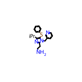 CC(C)c1nc(CCN)n(Cc2cccnc2)c1Sc1ccccc1